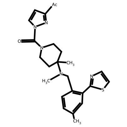 CC(=O)c1ccn(C(=O)N2CCC(C)(N(C)Cc3ccc(C)cc3-c3nccs3)CC2)n1